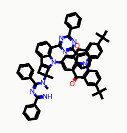 C[C@@H]1c2c(n(-c3cc4c(=O)c5cc(C(C)(C)C)ccc5n5c6ccc(C(C)(C)C)cc6c(=O)c(c3)c45)c3c(-c4nc(-c5ccccc5)nc(-c5ccccc5)n4)cccc23)C1(C)N(C)/C(=N\C(=N)c1ccccc1)c1ccccc1